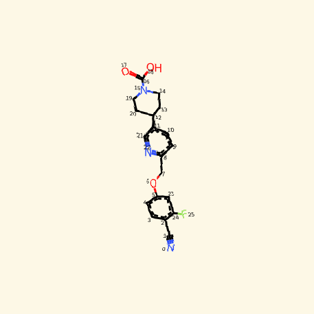 N#Cc1ccc(OCc2ccc(C3CCN(C(=O)O)CC3)cn2)cc1F